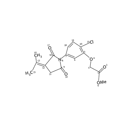 COC(=O)COc1cc(N2C(=O)CC(=C(C)C)C2=O)ccc1Cl